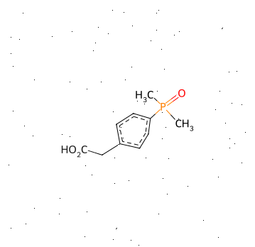 CP(C)(=O)c1ccc(CC(=O)O)cc1